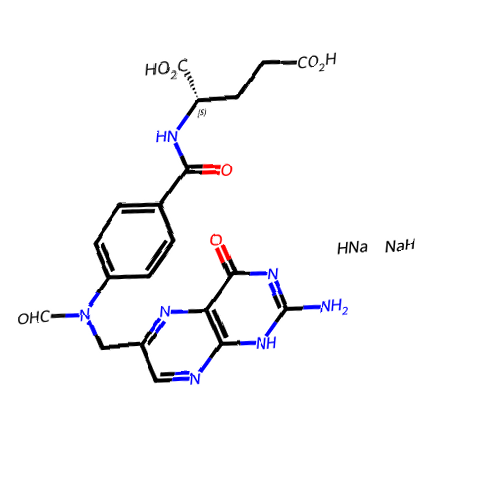 Nc1nc(=O)c2nc(CN(C=O)c3ccc(C(=O)N[C@@H](CCC(=O)O)C(=O)O)cc3)cnc2[nH]1.[NaH].[NaH]